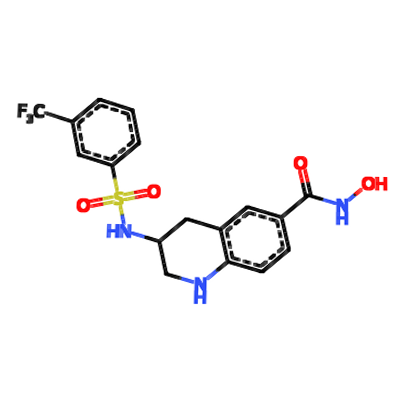 O=C(NO)c1ccc2c(c1)CC(NS(=O)(=O)c1cccc(C(F)(F)F)c1)CN2